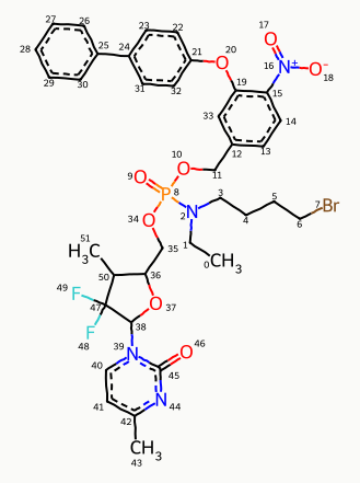 CCN(CCCCBr)P(=O)(OCc1ccc([N+](=O)[O-])c(Oc2ccc(-c3ccccc3)cc2)c1)OCC1OC(n2ccc(C)nc2=O)C(F)(F)C1C